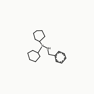 c1ccc(CNN(C2CCCCC2)C2CCCCC2)cc1